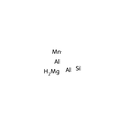 [Al].[Al].[MgH2].[Mn].[Si]